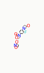 O=C1CCN(c2ccc(N3C[C@H](COc4ccon4)OC3=O)cc2F)C1